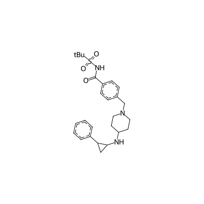 CC(C)(C)S(=O)(=O)NC(=O)c1ccc(CN2CCC(NC3CC3c3ccccc3)CC2)cc1